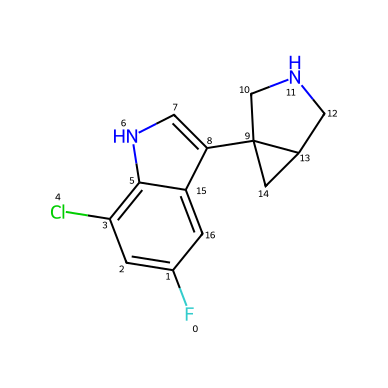 Fc1cc(Cl)c2[nH]cc(C34CNCC3C4)c2c1